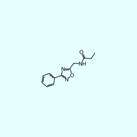 CCC(=O)NCc1nc(-c2ccccc2)no1